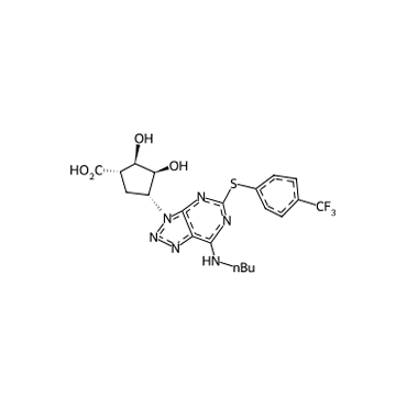 CCCCNc1nc(Sc2ccc(C(F)(F)F)cc2)nc2c1nnn2[C@@H]1C[C@H](C(=O)O)[C@@H](O)[C@H]1O